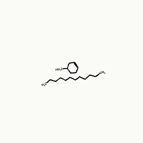 CCCCCCCCCCCC.O=C(O)C1CC=CCC1